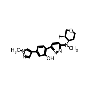 CN(c1ccc(-c2ccc(-c3cnn(C)c3)cc2O)nn1)[C@@H]1CCOC[C@@H]1F